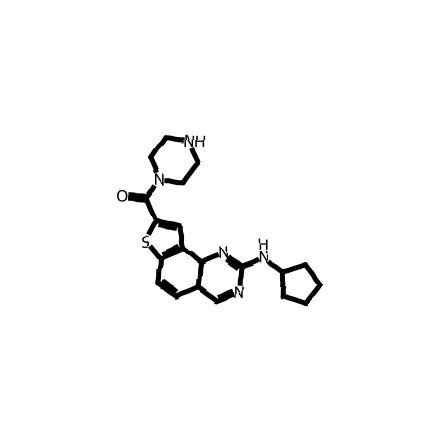 O=C(c1cc2c(s1)C=CC1C=NC(NC3CCCC3)=NC21)N1CCNCC1